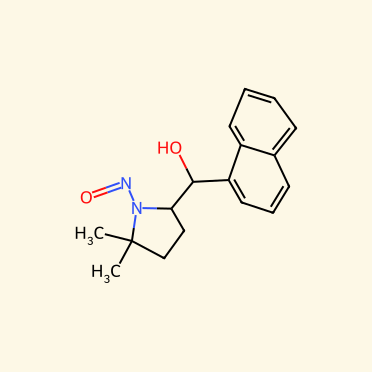 CC1(C)CCC(C(O)c2cccc3ccccc23)N1N=O